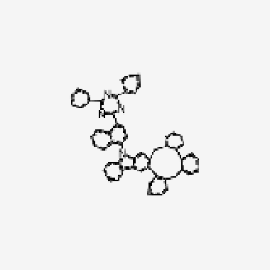 c1ccc(-c2nc(-c3ccccc3)nc(-c3ccc(-n4c5ccccc5c5cc6c(cc54)Cc4ccccc4-c4ccccc4Cc4ccccc4-6)c4ccccc34)n2)cc1